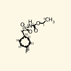 CCOC(=O)NS(=O)(=O)Cc1ccc(F)cc1